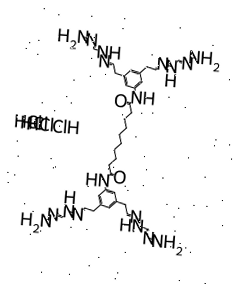 Cl.Cl.Cl.Cl.NN=CNN=CCc1cc(CC=NNC=NN)cc(NC(=O)CCCCCCCCC(=O)Nc2cc(CC=NNC=NN)cc(CC=NNC=NN)c2)c1